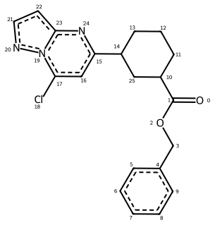 O=C(OCc1ccccc1)C1CCCC(c2cc(Cl)n3nccc3n2)C1